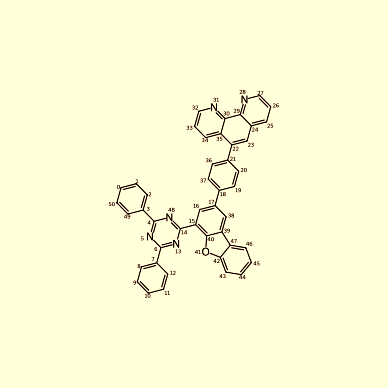 c1ccc(-c2nc(-c3ccccc3)nc(-c3cc(-c4ccc(-c5cc6cccnc6c6ncccc56)cc4)cc4c3oc3ccccc34)n2)cc1